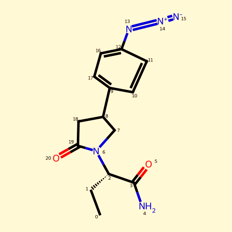 CC[C@@H](C(N)=O)N1CC(c2ccc(N=[N+]=[N-])cc2)CC1=O